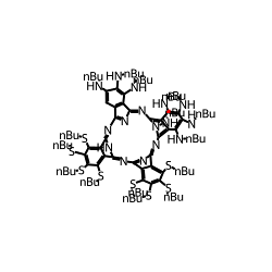 CCCCNc1cc2c(c(NCCCC)c1NCCCC)-c1nc-2nc2[nH]c(nc3nc(nc4c5c(NCCCC)c(NCCCC)c(NCCCC)c(NCCCC)c5c(n1)n4NCCCC)-c1c(SCCCC)c(SCCCC)c(SCCCC)c(SCCCC)c1-3)c1c(SCCCC)c(SCCCC)c(SCCCC)c(SCCCC)c21